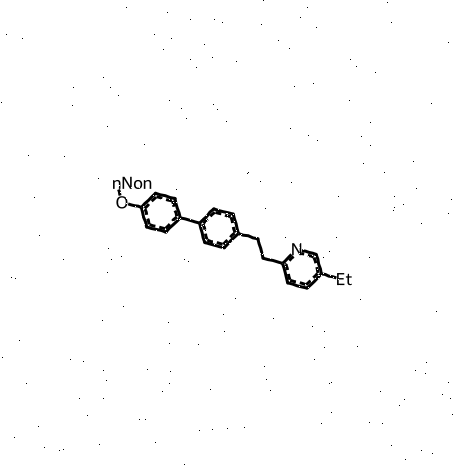 CCCCCCCCCOc1ccc(-c2ccc(CCc3ccc(CC)cn3)cc2)cc1